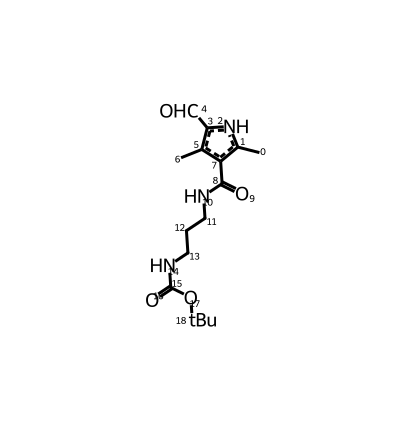 Cc1[nH]c(C=O)c(C)c1C(=O)NCCCNC(=O)OC(C)(C)C